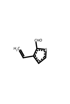 C=Cc1ccsc1C=O